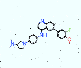 COc1ccc(-c2ccc3nccc(Nc4ccc(N5CCC(N(C)C)C5)cc4)c3c2)cc1F